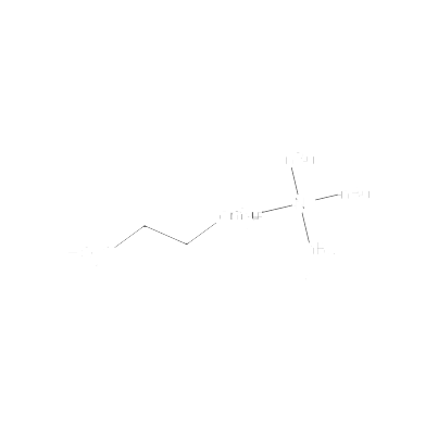 CCCC[N+](CCCC)(CCCC)CCCC.O=C(O)CCC(=O)O.[Cl-]